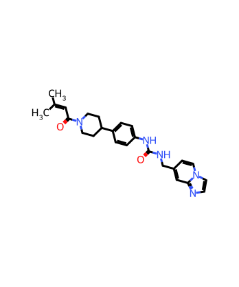 CC(C)=CC(=O)N1CCC(c2ccc(NC(=O)NCc3ccn4ccnc4c3)cc2)CC1